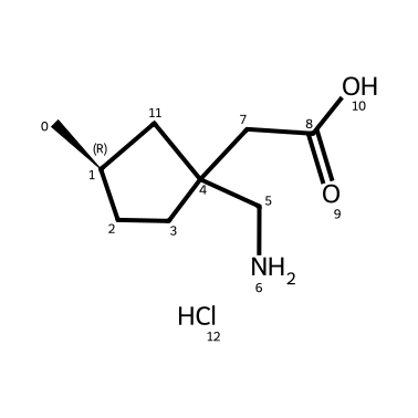 C[C@@H]1CCC(CN)(CC(=O)O)C1.Cl